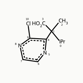 CC(C)C(C)(C(=O)O)c1nccnc1Cl